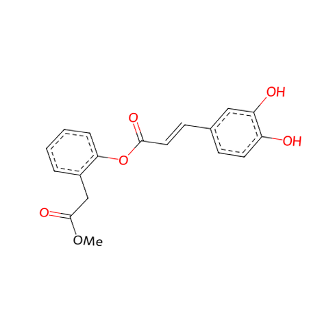 COC(=O)Cc1ccccc1OC(=O)/C=C/c1ccc(O)c(O)c1